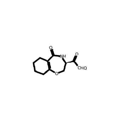 O=CC(=O)[C@H]1COC2=C(CCCC2)C(=O)N1